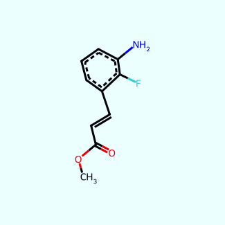 COC(=O)/C=C/c1cccc(N)c1F